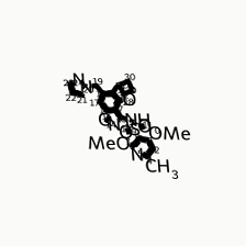 COc1cc(C)nc(OC)c1S(=O)(=O)Nc1noc2cc(Cn3cccn3)c3c(c12)OC1CC3C1